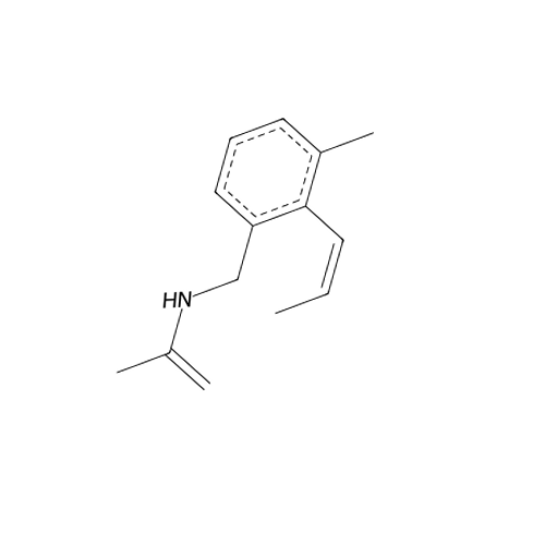 C=C(C)NCc1cccc(C)c1/C=C\C